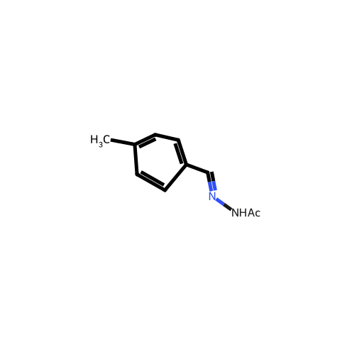 [CH2]C(=O)NN=Cc1ccc(C)cc1